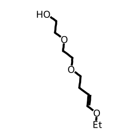 CCO/C=C/CCOCCOCCO